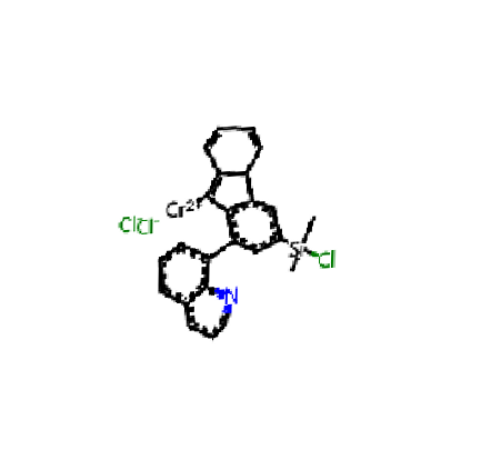 C[Si](C)(Cl)c1cc(-c2cccc3cccnc23)c2c(c1)C1C=CC=CC1=[C]2[Cr+2].[Cl-].[Cl-]